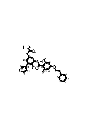 Cc1cc(OCCc2ccccc2)cc(C)c1C(=O)Nc1cc(CC(=O)O)cc(-c2ccoc2)c1Cl